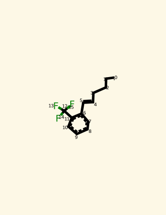 [CH2]CCCC=Cc1ccccc1C(F)(F)F